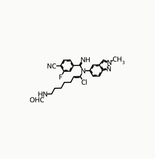 Cn1cc2cc(N(C(=N)c3ccc(C#N)c(F)c3)/C(Cl)=C/CCCCCNC=O)ccc2n1